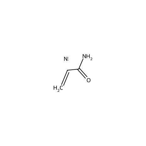 C=CC(N)=O.[N]